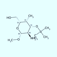 CO[C@@H]1O[C@H](CO)[C@H](C)[C@H](O[Si](C)(C)C)[C@H]1N